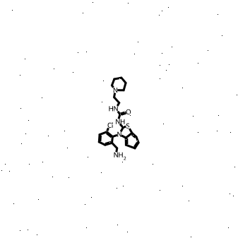 NCc1cccc(Cl)c1N1c2ccccc2SC1NC(=O)NCCN1CCCCC1